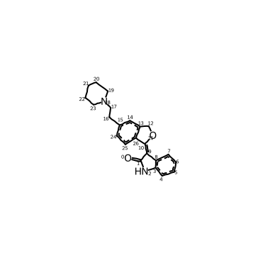 O=C1Nc2ccccc2/C1=C1\OCc2cc(CCN3CCCCC3)ccc21